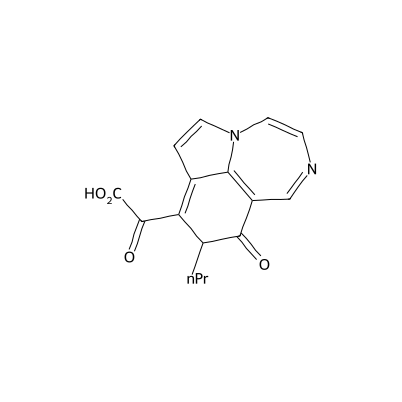 CCCC1C(=O)C2=c3c(ccn3C=CN=C2)=C1C(=O)C(=O)O